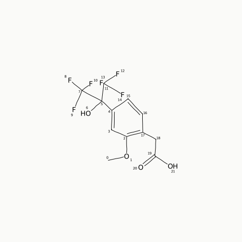 COc1cc(C(O)(C(F)(F)F)C(F)(F)F)ccc1CC(=O)O